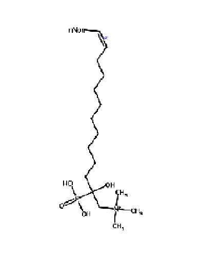 CCCCCCCCC/C=C\CCCCCCCCCC(O)(C[N+](C)(C)C)P(=O)(O)O